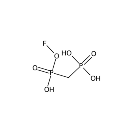 O=P(O)(O)CP(=O)(O)OF